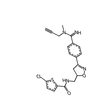 C#CCN(C)C(=N)c1ccc(C2=NOC(CNC(=O)c3ccc(Cl)s3)C2)cc1